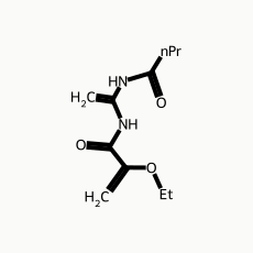 C=C(NC(=O)CCC)NC(=O)C(=C)OCC